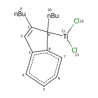 CCCCC1=Cc2ccccc2[C]1(CCCC)[Ti]([Cl])[Cl]